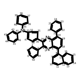 c1ccc(-c2nc3c(-c4cccc5ccccc45)ccc(-c4ccccc4)c3nc2-c2ccc(N(c3ccccc3)c3ccccc3)cc2)cc1